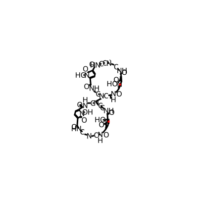 CC1CN(CCN2CCNC(=O)c3ccc(c(=O)n3O)C(=O)NCCN(C)CCNC(=O)c3ccc(n(O)c3=O)C(=O)NCC2)CCNC(=O)c2ccc(c(=O)n2O)C(=O)NCCN(C)CCNC(=O)c2ccc(n(O)c2=O)C(=O)N1